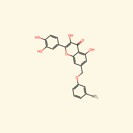 O=c1c(O)c(-c2ccc(O)c(O)c2)oc2cc(COc3cccc([N+](=O)[O-])c3)cc(O)c12